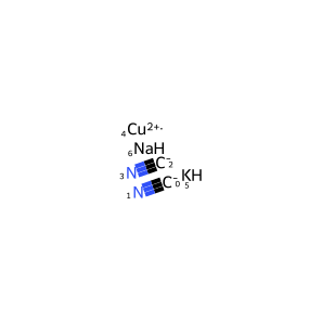 [C-]#N.[C-]#N.[Cu+2].[KH].[NaH]